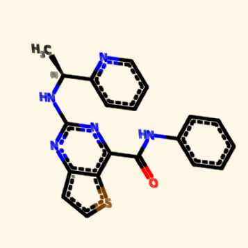 C[C@H](Nc1nc(C(=O)Nc2ccccc2)c2sccc2n1)c1ccccn1